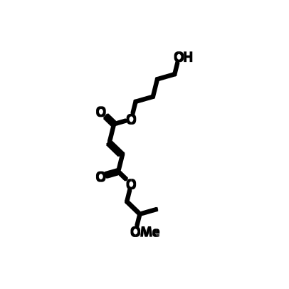 COC(C)COC(=O)C=CC(=O)OCCCCO